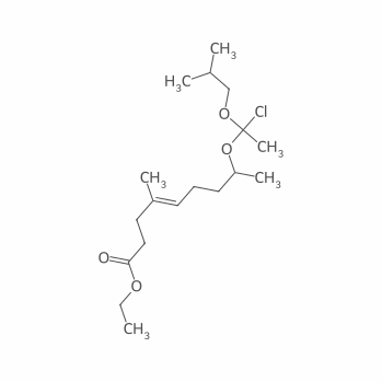 CCOC(=O)CCC(C)=CCCC(C)OC(C)(Cl)OCC(C)C